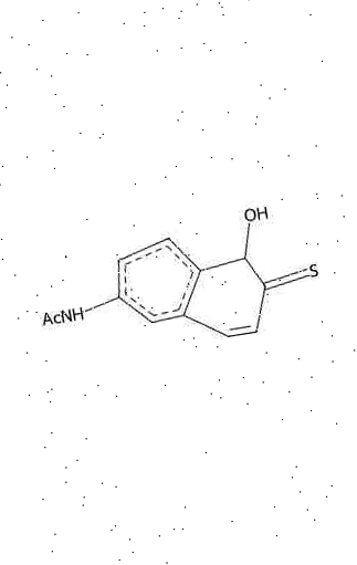 CC(=O)Nc1ccc2c(c1)C=CC(=S)C2O